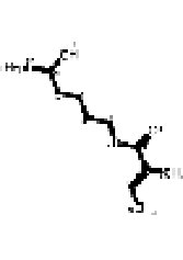 CC=C(C)C(=O)OCCCCC(O)CCCCCCC